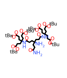 CC(C)(C)OC(=O)CCC(CCC(=O)OC(C)(C)C)(CCC(=O)OC(C)(C)C)NC(=O)CCC(N)(CCC(N)=O)CCC(=O)NC(CCC(=O)OC(C)(C)C)(CCC(=O)OC(C)(C)C)CCC(=O)OC(C)(C)C